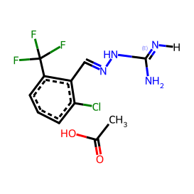 CC(=O)O.[H]/N=C(\N)NN=Cc1c(Cl)cccc1C(F)(F)F